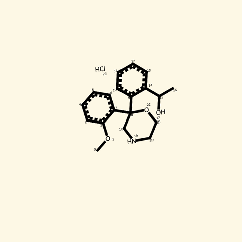 COc1ccccc1C1(c2ccccc2C(C)O)CNCCO1.Cl